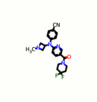 CN1CC(N(c2ccc(C#N)cc2)c2ccc(C(=O)N3CCC(F)(F)CC3)cn2)C1